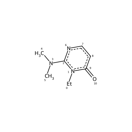 CCn1c(N(C)C)nccc1=O